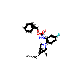 COC[C@@H]1C2CN(c3ccc(F)cc3NC(=O)OCc3ccccc3)C[C@@H]21